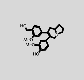 COc1cc(C2=C(c3ccc(CO)c(OC)c3)CC3CCCN3C2)ccc1O